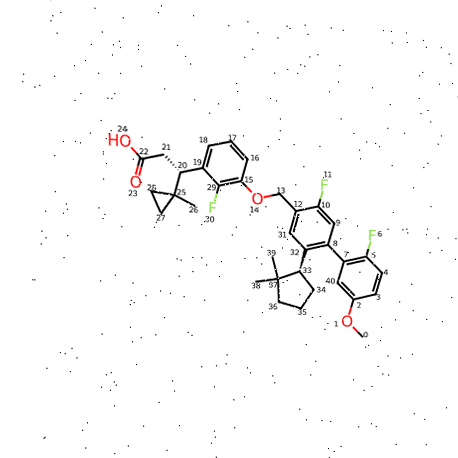 COc1ccc(F)c(-c2cc(F)c(COc3cccc([C@@H](CC(=O)O)C4(C)CC4)c3F)cc2[C@H]2CCCC2(C)C)c1